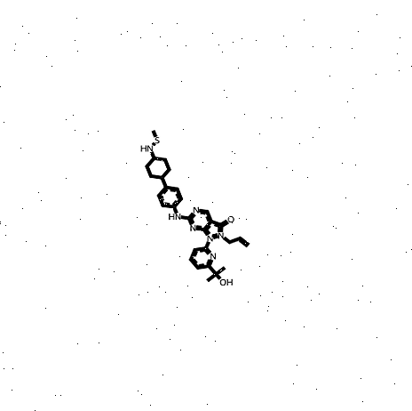 C=CCn1c(=O)c2cnc(Nc3ccc(C4CCC(NSC)CC4)cc3)nc2n1-c1cccc(C(C)(C)O)n1